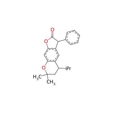 CC(C)C1CC(C)(C)Oc2cc3c(cc21)C(c1ccccc1)C(=O)O3